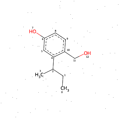 CCC(C)c1cc(O)ccc1CO